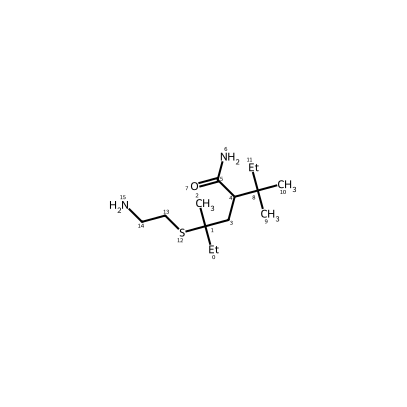 CCC(C)(CC(C(N)=O)C(C)(C)CC)SCCN